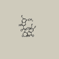 Cc1cc(F)cc2[nH]c(C(=O)N(C)[C@H]3COCc4[nH]c(=O)c5cc(F)c(F)cc5c43)cc12